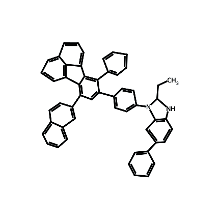 CCC1Nc2ccc(-c3ccccc3)cc2N1c1ccc(-c2cc(-c3ccc4ccccc4c3)c3c(c2-c2ccccc2)-c2cccc4cccc-3c24)cc1